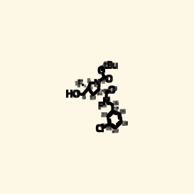 CC(C)(C)OC(=O)N1C[C@](F)(CO)C[C@H]1C(=O)N(F)Cc1cccc(Cl)c1